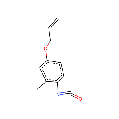 C=CCOc1ccc(N=C=O)c(C)c1